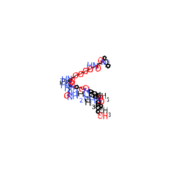 CC(C)[C@H](NC(=O)CCOCCOCCOCCOCCNC(=O)CCC(=O)N1Cc2ccccc2/C=C\c2ccccc21)C(=O)N[C@@H](CCCNC(N)=O)C(=O)Nc1ccc(COC(=O)Nc2ccc3c(c2)[C@@]2(C)CCC[C@](C)(C(=O)NC(=O)[C@@]4(C)CCC[C@]5(C)c6cc(O)ccc6CC[C@@H]45)[C@@H]2CC3)cc1